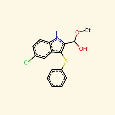 CCOC(O)c1[nH]c2ccc(Cl)cc2c1Sc1ccccc1